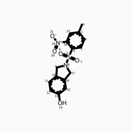 Cc1ccc(S(=O)(=O)N2Cc3ccc(O)cc3C2)c([N+](=O)[O-])c1